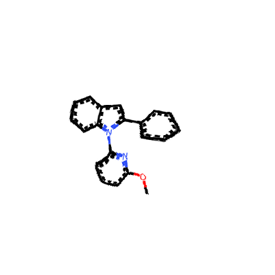 COc1cccc(-n2c(-c3ccccc3)cc3ccccc32)n1